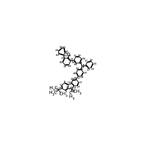 CC(C)(C)c1ccc2c(c1)C(C)(C)c1ccc(-c3ccc(N(c4ccccc4)c4cccc(-c5cccc6c5oc5ccccc56)c4)cc3)cc1-2